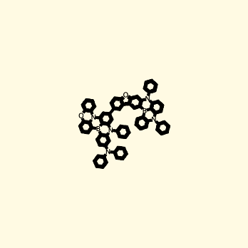 c1ccc(N(c2ccccc2)c2ccc3c(c2)N(c2ccccc2)c2cc(-c4ccc5oc6cc7c(cc6c5c4)B4c5ccccc5N(c5ccccc5)c5cccc(c54)N7c4ccccc4)cc4c2B3c2cccc3c2N4c2ccccc2O3)cc1